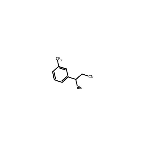 CCC(C)C(CC#N)c1cccc(C(F)(F)F)c1